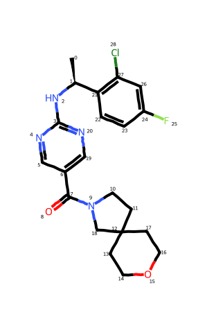 C[C@H](Nc1ncc(C(=O)N2CCC3(CCOCC3)C2)cn1)c1ccc(F)cc1Cl